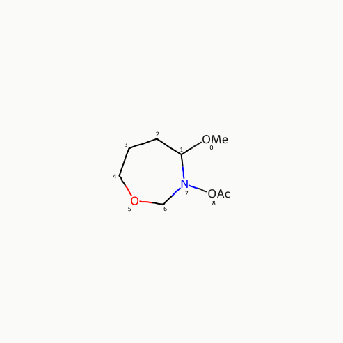 COC1CCCOCN1OC(C)=O